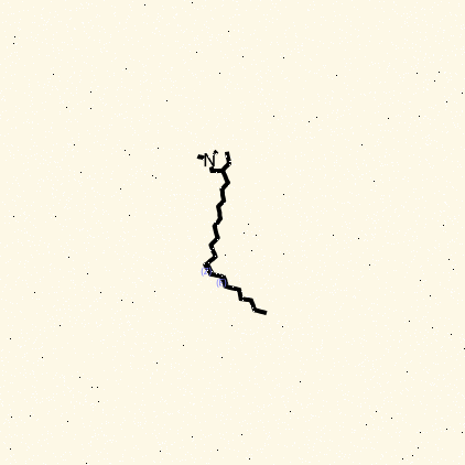 CCCCC/C=C/C=C\CCCCCCCCCC(CC)CN(C)C